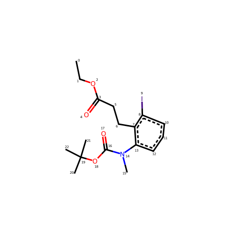 CCOC(=O)CCc1c(I)cccc1N(C)C(=O)OC(C)(C)C